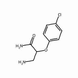 NCC(Oc1ccc(Cl)cc1)C(N)=O